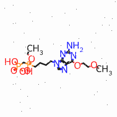 CCOP(=O)(CCCCn1cnc2c(OCCOC)nc(N)nc21)CP(=O)(O)O